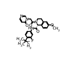 COc1ccc2c(c1)CCN(C(=O)Cn1cnccc1=O)[C@H]2C(=O)Nc1ccc(C(C)(C)C)c(F)c1